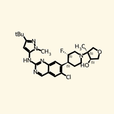 Cn1nc(C(C)(C)C)cc1Nc1ncc2cc(Cl)c([C@@H]3CCN([C@@]4(C)COC[C@H]4O)C[C@H]3F)cc2n1